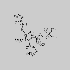 CCn1c(=O)c2c(C)c(CNC(=O)CN)sc2n(CCC(F)(F)F)c1=O